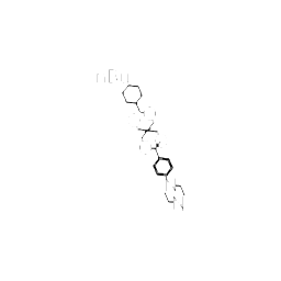 CCCCC1CCC(C2OCC3(COC(c4ccc(N5CCN(C)CC5)cc4)OC3)CO2)CC1